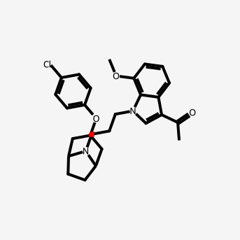 COc1cccc2c(C(C)=O)cn(CCCN3C4CCC3CC(Oc3ccc(Cl)cc3)C4)c12